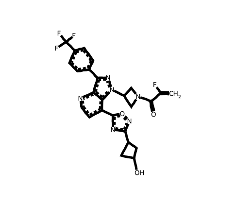 C=C(F)C(=O)N1CC(n2nc(-c3ccc(C(F)(F)F)cc3)c3nccc(-c4nc(C5CC(O)C5)no4)c32)C1